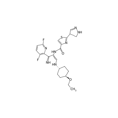 CCO[C@H]1CC[C@H](N/C=C(/NC(=O)c2csc(C3C=NNC3)n2)C(=N)c2nc(F)ccc2F)CC1